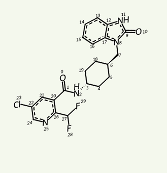 O=C(N[C@H]1CC[C@H](Cn2c(=O)[nH]c3ccccc32)CC1)c1cc(Cl)cnc1C(F)F